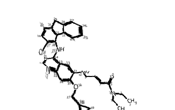 CCN(CC)C(=O)C=CCNc1cc2c(Nc3c(Cl)ccc4c3-c3ccccc3C4)ncnc2cc1OCC1CC1